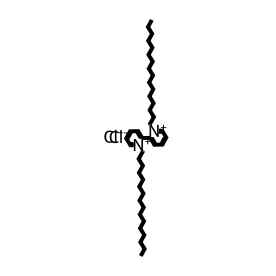 CCCCCCCCCCCCCCCC[n+]1ccccc1-c1cccc[n+]1CCCCCCCCCCCCCCCC.[Cl-].[Cl-]